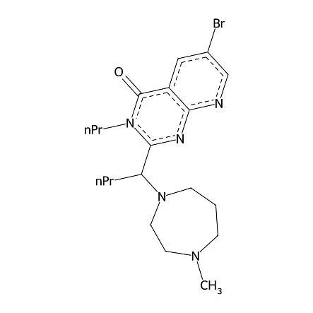 CCCC(c1nc2ncc(Br)cc2c(=O)n1CCC)N1CCCN(C)CC1